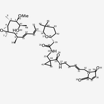 CO[C@H]([C@@H](C)[C@H]1O[C@]1(C)C[C@H](C)/C=C/C=C(\C)[C@H]1O[C@@H](CC(=O)NCC2(C(=O)NCC/C=C/CN3C(=O)C=CC3=O)CC2)CCC1(C)C)[C@@H](C)O